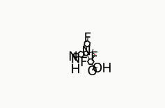 CC(C)c1c(-c2c(F)cc(C(=O)O)cc2F)c2cc3[nH]ncc3cc2n1-c1ccc(F)cc1